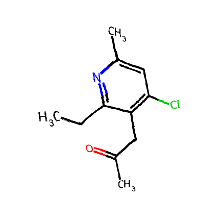 CCc1nc(C)cc(Cl)c1CC(C)=O